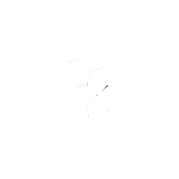 CON(C)C(=O)[C@](C)(O)CO